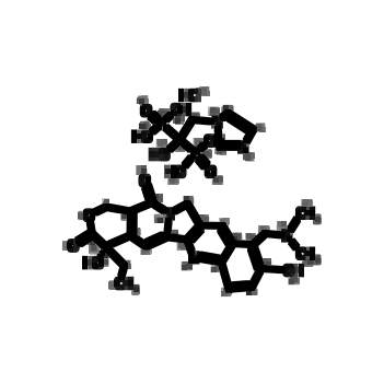 CC[C@@]1(O)C(=O)OCc2c1cc1n(c2=O)Cc2cc3c(CN(C)C)c(O)ccc3nc2-1.Cl.O=P(O)(O)C(O)(Cn1ccnc1)P(=O)(O)O